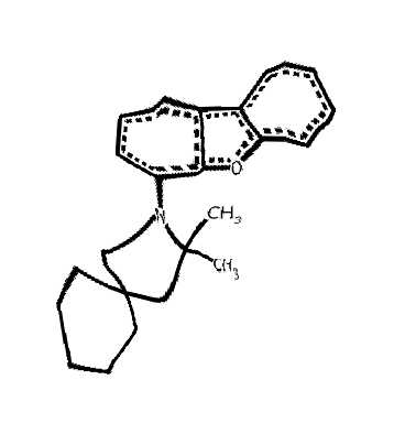 CC1(C)CC2(CCCCC2)CN1c1cccc2c1oc1ccccc12